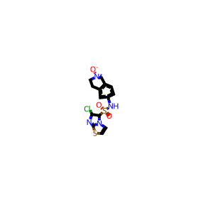 O=S(=O)(Nc1ccc2c(c1)CC[N+]([O-])=C2)C1C(Cl)N=C2SC=CN21